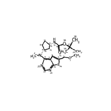 COCc1cc2c(N(C)[C@@H]3CC[C@H](NC(=O)OC(C)(C)C)C3)ncnc2s1